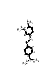 Cc1ccc(N=Nc2ccc(N(C)C)cc2)c[n+]1C